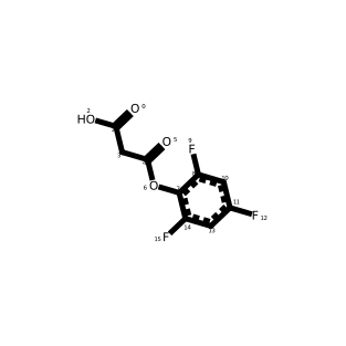 O=C(O)CC(=O)Oc1c(F)cc(F)cc1F